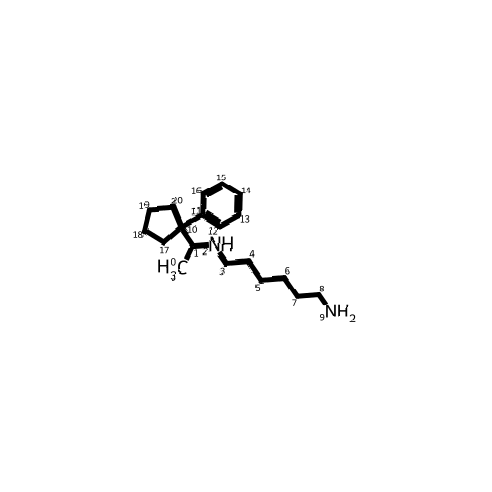 CC(NCCCCCCN)C1(c2ccccc2)CCCC1